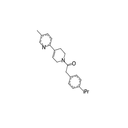 Cc1ccc(C2=CCN(C(=O)Cc3ccc(C(C)C)cc3)CC2)nc1